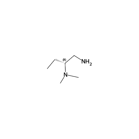 CC[C@H](CN)N(C)C